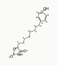 O=C1NC(=O)C(CCCCCCCCc2ccc(O)cc2)O1